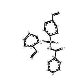 C=Cc1ccc(S(=O)(=O)NC(=O)c2ccccc2)cc1.C=Cc1ccccc1